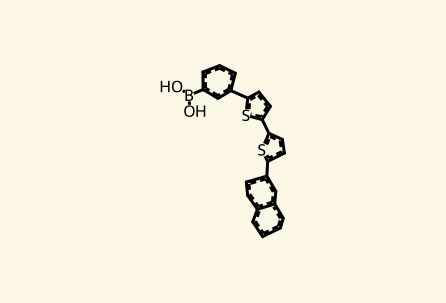 OB(O)c1cccc(-c2ccc(-c3ccc(-c4ccc5ccccc5c4)s3)s2)c1